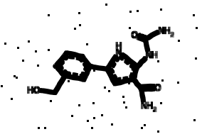 NC(=O)Nc1[nH]c(-c2cccc(CO)c2)cc1C(N)=O